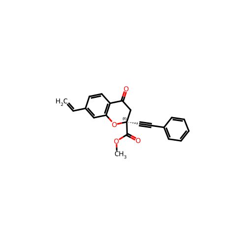 C=Cc1ccc2c(c1)O[C@](C#Cc1ccccc1)(C(=O)OC)CC2=O